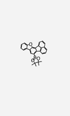 CC1(C)OB(c2cc3c(oc4ccccc43)c3c2-c2cccc4cccc-3c24)OC1(C)C